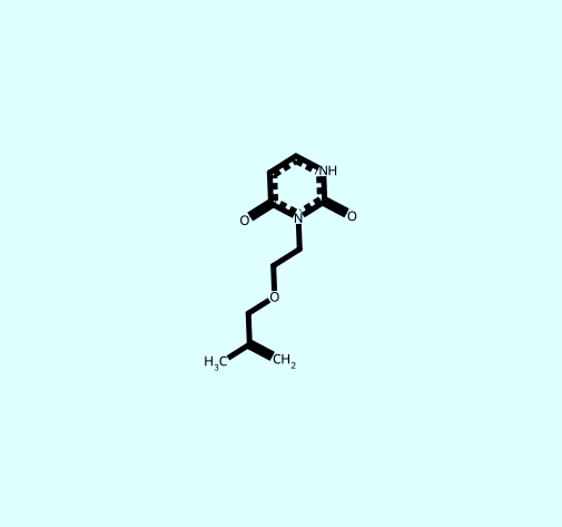 C=C(C)COCCn1c(=O)cc[nH]c1=O